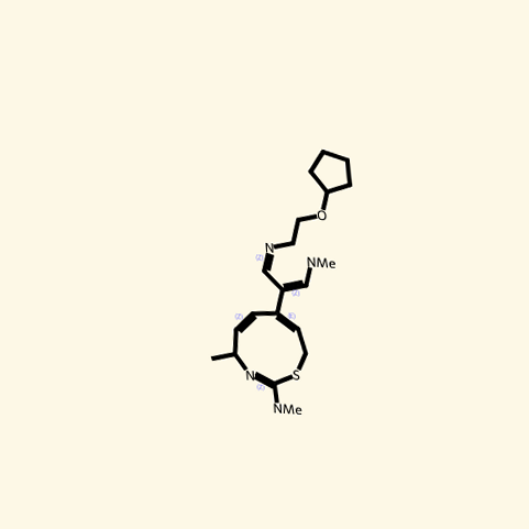 CN/C=C(\C=N/CCOC1CCCC1)C1=C/CS/C(NC)=N\C(C)/C=C\1